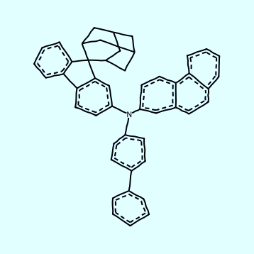 c1ccc(-c2ccc(N(c3ccc4c(c3)C3(c5ccccc5-4)C4CC5CC(C4)CC3C5)c3ccc4c(ccc5ccccc54)c3)cc2)cc1